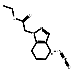 CCOC(=O)Cn1ncc2c1CCC[C@H]2N=[N+]=[N-]